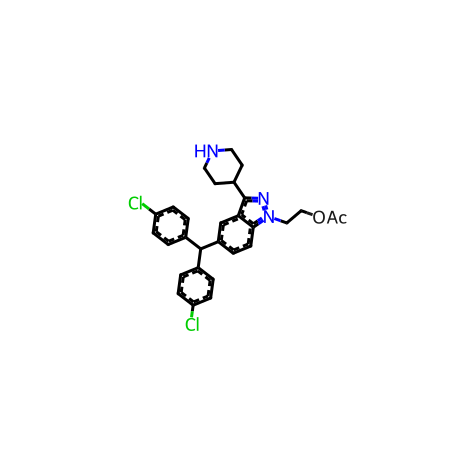 CC(=O)OCCn1nc(C2CCNCC2)c2cc(C(c3ccc(Cl)cc3)c3ccc(Cl)cc3)ccc21